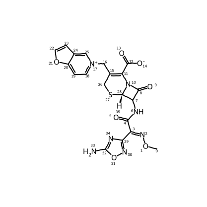 CON=C(C(=O)NC1C(=O)N2C(C(=O)[O-])=C(C[n+]3ccc4occc4c3)CS[C@@H]12)c1noc(N)n1